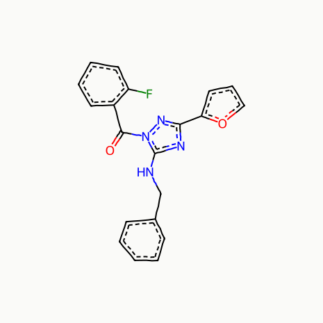 O=C(c1ccccc1F)n1nc(-c2ccco2)nc1NCc1ccccc1